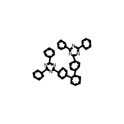 c1ccc(-c2nc(-c3ccccc3)nc(-c3ccc(-c4ccccc4-c4ccc(-c5nc(-c6ccccc6)nc(-c6ccccc6)n5)cc4)cc3)n2)cc1